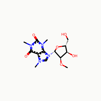 CO[C@@H]1[C@H](O)[C@@H](CO)O[C@H]1n1c[n+](C)c2c(=O)n(C)c(=O)n(C)c21